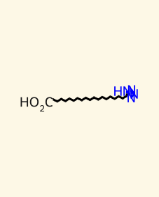 O=C(O)CCCCCCCCCCCCCCCCCCc1nnn[nH]1